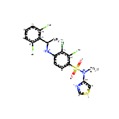 CC(Nc1ccc(S(=O)(=O)N(C(=O)O)c2cscn2)c(F)c1Cl)c1c(F)cccc1F